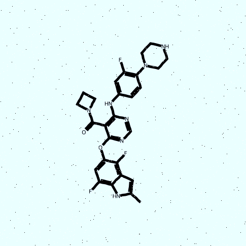 Cc1cc2c(F)c(Oc3ncnc(Nc4ccc(N5CCNCC5)c(F)c4)c3C(=O)N3CCC3)cc(F)c2[nH]1